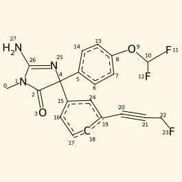 CN1C(=O)C(c2ccc(OC(F)F)cc2)(c2cccc(C#CCF)c2)N=C1N